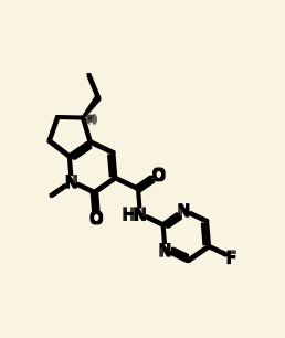 CC[C@@H]1CCc2c1cc(C(=O)Nc1ncc(F)cn1)c(=O)n2C